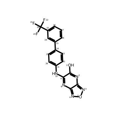 Oc1nc2nonc2nc1Nc1ccc(-c2cccc(C(F)(F)F)c2)cc1